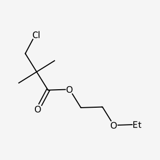 CCOCCOC(=O)C(C)(C)CCl